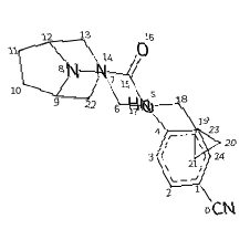 N#Cc1ccc(OCCN2C3CCC2CN(C(=O)NCC2CC2)C3)cc1